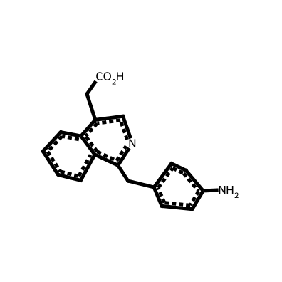 Nc1ccc(Cc2ncc(CC(=O)O)c3ccccc23)cc1